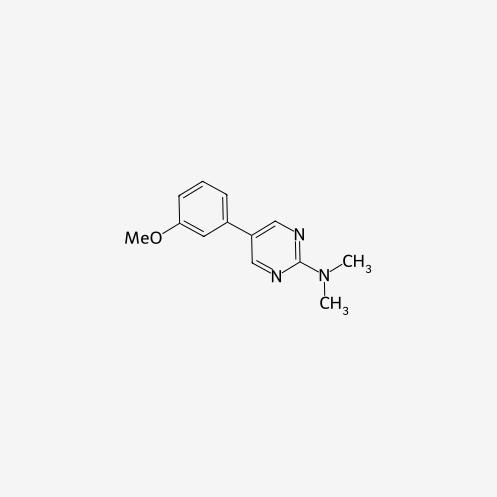 COc1cccc(-c2cnc(N(C)C)nc2)c1